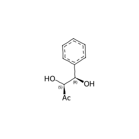 CC(=O)[C@@H](O)[C@H](O)c1ccccc1